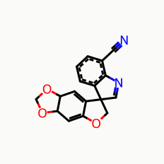 N#Cc1cccc2c1N=CC21COC2=CC3OCOC3C=C21